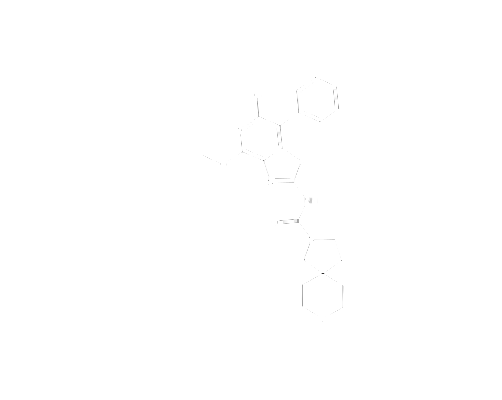 COc1nc(Cl)c(-c2ccccc2)c2sc(NC(=O)N3CCC4(CCOCC4)C3)nc12